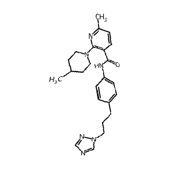 Cc1ccc(C(=O)Nc2ccc(CCCn3cncn3)cc2)c(N2CCC(C)CC2)n1